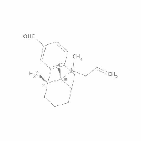 C=CCN(C)[C@@H]1C2CCC[C@]1(C)c1cc(C=O)ccc1C2